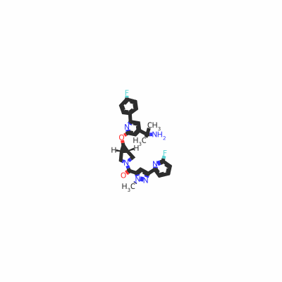 Cn1nc(-c2cccc(F)n2)cc1C(=O)N1C[C@@H]2C(Oc3cc(C(C)(C)N)cc(-c4ccc(F)cc4)n3)[C@@H]2C1